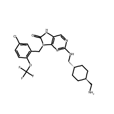 NC[C@H]1CC[C@H](CNc2ncc3[nH]c(=O)n(Cc4cc(Cl)ccc4OC(F)(F)F)c3n2)CC1